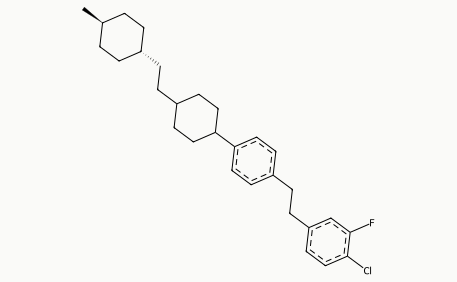 C[C@H]1CC[C@H](CCC2CCC(c3ccc(CCc4ccc(Cl)c(F)c4)cc3)CC2)CC1